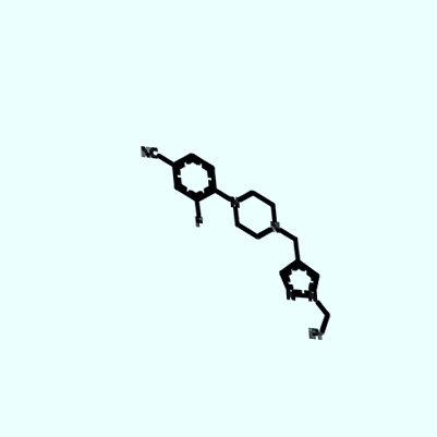 CC(C)Cn1cc(CN2CCN(c3ccc(C#N)cc3F)CC2)cn1